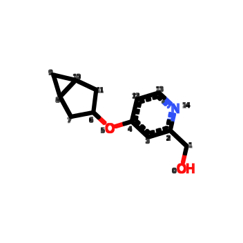 OCc1cc(OC2CC3CC3C2)ccn1